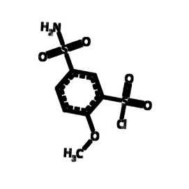 COc1ccc(S(N)(=O)=O)cc1S(=O)(=O)Cl